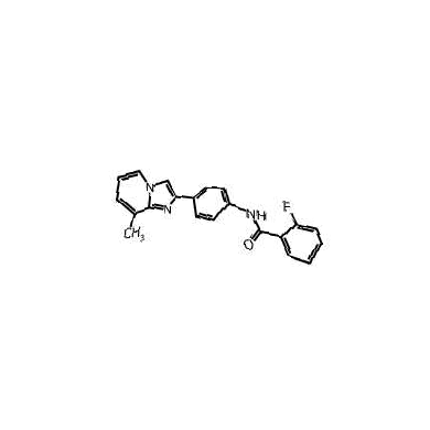 Cc1cccn2cc(-c3ccc(NC(=O)c4ccccc4F)cc3)nc12